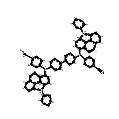 N#Cc1ccc(N(c2ccc(-c3ccc(N(c4ccc(C#N)cc4)c4ccc5c6c4ccc4cccc(c46)n5-c4ccccc4)cc3)cc2)c2ccc3c4c2ccc2cccc(c24)n3-c2ccccc2)cc1